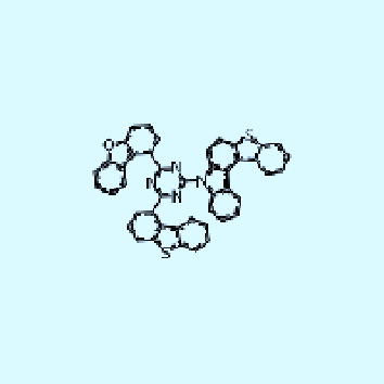 c1ccc2c(c1)oc1cccc(-c3nc(-c4cccc5sc6ccccc6c45)nc(-n4c5ccccc5c5c6c(ccc54)sc4ccccc46)n3)c12